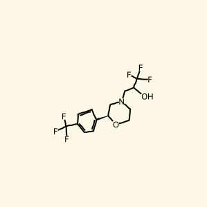 OC(CN1CCO[C@@H](c2ccc(C(F)(F)F)cc2)C1)C(F)(F)F